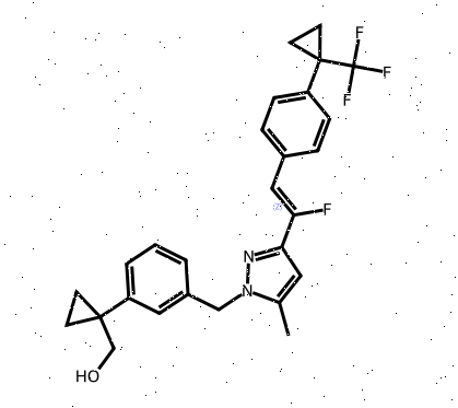 Cc1cc(/C(F)=C/c2ccc(C3(C(F)(F)F)CC3)cc2)nn1Cc1cccc(C2(CO)CC2)c1